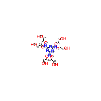 OCCON(OCCO)c1nc(N(OCCO)OCCO)nc(N(OCCO)OCCO)n1